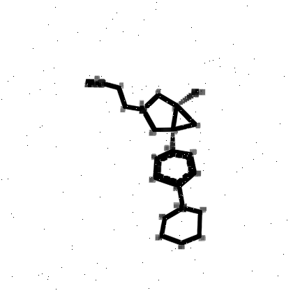 COCCN1C[C@H]2C[C@@]2(c2ccc(N3CCCCC3)cc2)C1